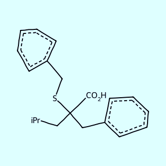 CC(C)CC(Cc1ccccc1)(SCc1ccccc1)C(=O)O